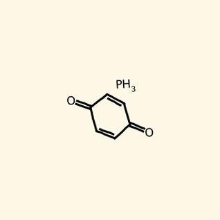 O=C1C=CC(=O)C=C1.P